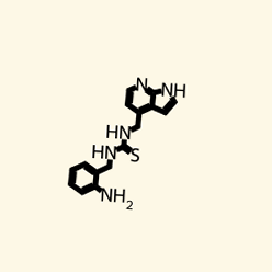 Nc1ccccc1CNC(=S)NCc1ccnc2[nH]ccc12